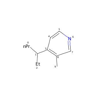 CCCC(CC)c1ccncc1C